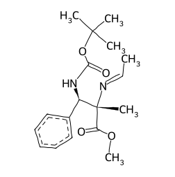 C/C=N/[C@](C)(C(=O)OC)[C@H](NC(=O)OC(C)(C)C)c1ccccc1